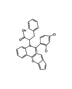 O=C(O)C(Cc1ccccc1)N(C(=O)c1ccc(Cl)cc1Cl)c1ccccc1-c1ccc2cccc-2o1